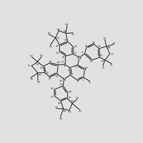 Cc1cc2c3c(n1)N(c1ccc4c(c1)C(C)(C)CC4(C)C)c1cc4c(cc1B3c1cc3c(cc1N2c1ccc2c(c1)C(C)(C)CC2(C)C)C(C)(C)CC3(C)C)C(C)(C)CC4(C)C